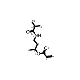 C=CC(=O)OC(C)CCNC(=O)C(C)C